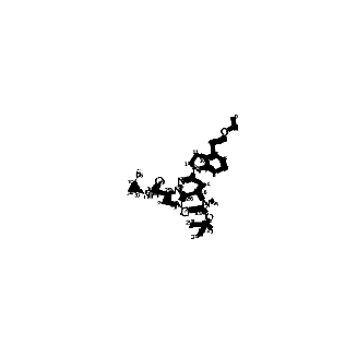 CCO/C=C/c1cccc2c1CCN2c1cc(N(C)C(=O)OC(C)(C)C)c2ncc(C(=O)N[C@@H]3C[C@@H]3F)n2n1